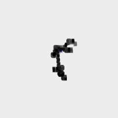 CCCCC[C@@H](/C=C/[C@H]1[C@H](O)CC(=O)[C@@H]1CCCCCCC(=O)Nc1ccc(Cl)cc1)CO